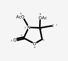 CC(=O)ON1C(=O)OCC1(I)OC(C)=O